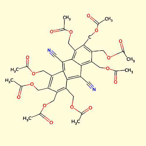 CC(=O)OCc1c(COC(C)=O)c(COC(C)=O)c2c(C#N)c3c(COC(C)=O)c(COC(C)=O)c(COC(C)=O)c(COC(C)=O)c3c(C#N)c2c1COC(C)=O